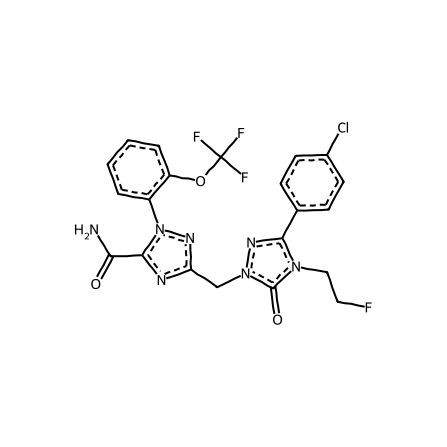 NC(=O)c1nc(Cn2nc(-c3ccc(Cl)cc3)n(CCF)c2=O)nn1-c1ccccc1OC(F)(F)F